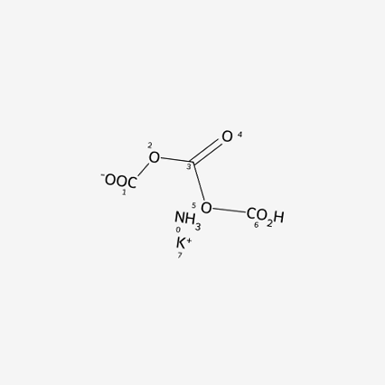 N.O=C([O-])OC(=O)OC(=O)O.[K+]